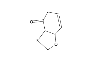 O=C1CC=CC2OCSC12